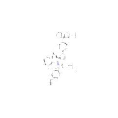 C/C(=C1\C(=O)N(Cc2cccc(C(=O)O)c2)c2ccccc21)c1ccc(F)cc1